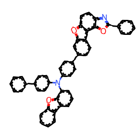 c1ccc(-c2ccc(N(c3ccc(-c4ccc5c(c4)oc4ccc6nc(-c7ccccc7)oc6c45)cc3)c3cccc4c3oc3ccccc34)cc2)cc1